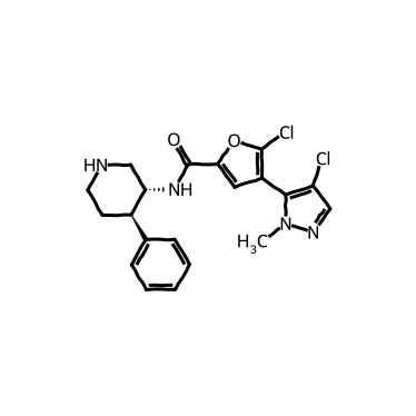 Cn1ncc(Cl)c1-c1cc(C(=O)N[C@H]2CNCC[C@@H]2c2ccccc2)oc1Cl